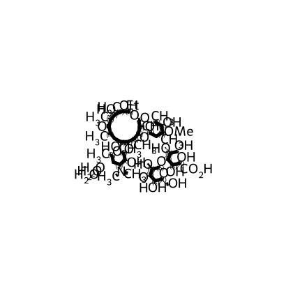 CC[C@H]1OC(=O)[C@H](C)[C@@H](O[C@H]2C[C@@](C)(OC)[C@@H](O)[C@H](C)O2)[C@H](C)[C@@H](O[C@@H]2O[C@H](C)C[C@H](N(C)C)[C@H]2O)[C@](C)(O)C[C@@H](C)C(=O)[C@H](C)[C@@H](O)[C@]1(C)O.O.O.O.O=C(O)[C@H](O)[C@@H](O)[C@H](O[C@@H]1O[C@H](CO)[C@H](O)[C@H](O)[C@H]1O)[C@H](O)CO